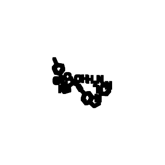 Cc1ccc(S(=O)(=O)n2nccc2C(C)(O)C#Cc2ccc3c(c2)N(c2ccnc(N)n2)CC3)cc1